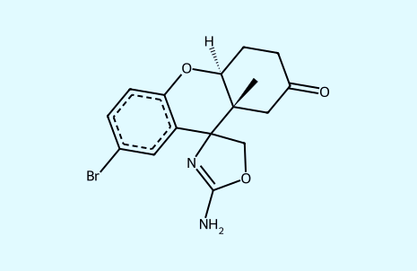 C[C@]12CC(=O)CC[C@@H]1Oc1ccc(Br)cc1C21COC(N)=N1